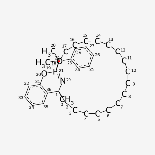 CC12CCCCCCCCCCCCCCCCC(C)(C)P(Oc3ccccc3)(=N1)Oc1ccccc12